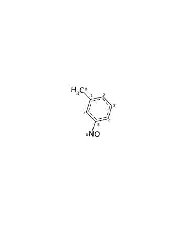 Cc1[c]ccc(N=O)c1